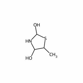 CC1SC(O)NC1O